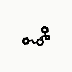 c1ccc(CCC2CCCN(CC3(c4ccccc4)CCC3)C2)cc1